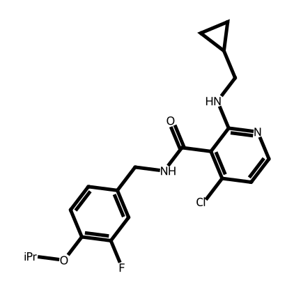 CC(C)Oc1ccc(CNC(=O)c2c(Cl)ccnc2NCC2CC2)cc1F